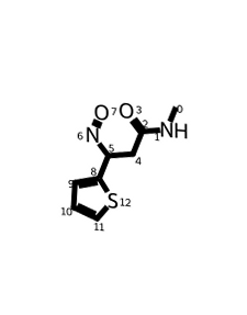 CNC(=O)CC(N=O)c1cccs1